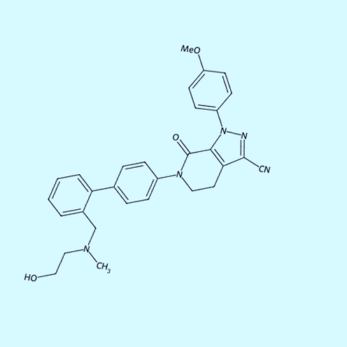 COc1ccc(-n2nc(C#N)c3c2C(=O)N(c2ccc(-c4ccccc4CN(C)CCO)cc2)CC3)cc1